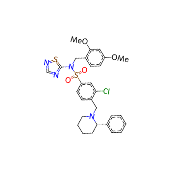 COc1ccc(CN(c2ncns2)S(=O)(=O)c2ccc(CN3CCCC[C@H]3c3ccccc3)c(Cl)c2)c(OC)c1